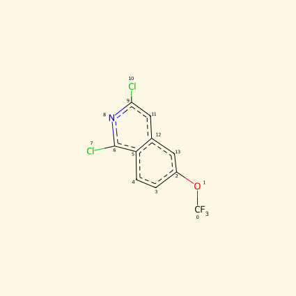 FC(F)(F)Oc1ccc2c(Cl)nc(Cl)cc2c1